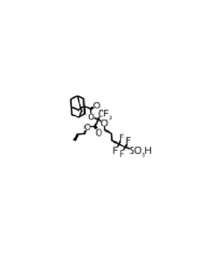 C=CCOC(=O)C(OCCCC(F)(F)C(F)(F)S(=O)(=O)O)(OC(=O)C12CC3CC(CC(C3)C1)C2)C(F)(F)F